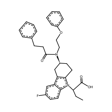 CCC(C(=O)O)n1c2c(c3cc(F)ccc31)C[C@@H](N(CCOc1ccccc1)C(=O)CCc1ccccc1)CC2